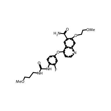 COCCCNC(=O)Nc1ccc(Oc2ccnc3cc(OCCOC)c(C(N)=O)cc23)cc1F